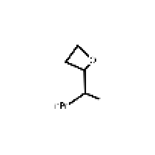 CCCC(C)[C]1CCO1